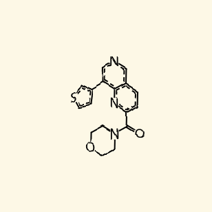 O=C(c1ccc2cncc(-c3ccsc3)c2n1)N1CCOCC1